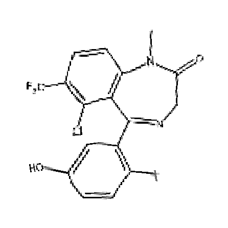 CN1C(=O)CN=C(c2cc(O)ccc2F)c2c1ccc(C(F)(F)F)c2Cl